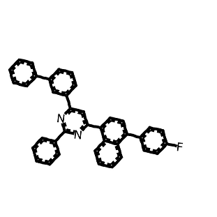 Fc1ccc(-c2ccc(-c3cc(-c4cccc(-c5ccccc5)c4)nc(-c4ccccc4)n3)c3ccccc23)cc1